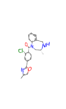 Cc1coc(-c2ccc(C(=O)N3C[C@@H](C)NCc4ccccc43)c(Cl)c2)n1